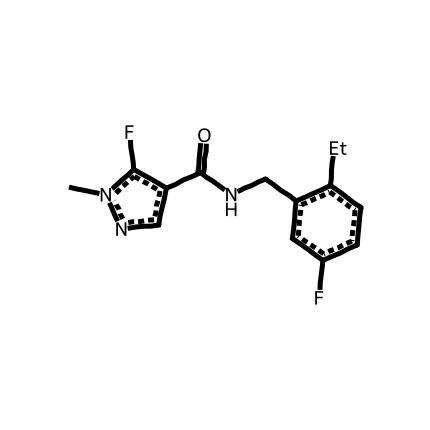 CCc1ccc(F)cc1CNC(=O)c1cnn(C)c1F